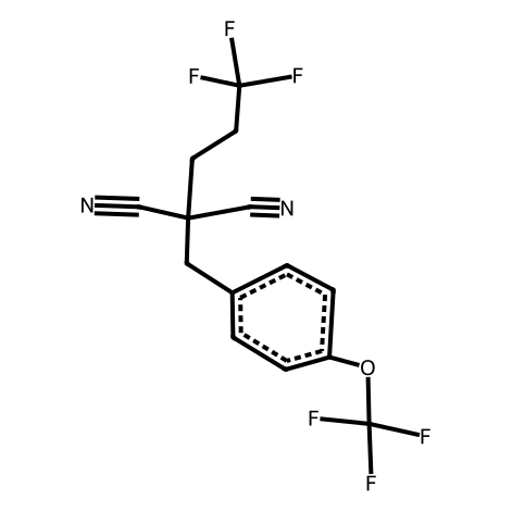 N#CC(C#N)(CCC(F)(F)F)Cc1ccc(OC(F)(F)F)cc1